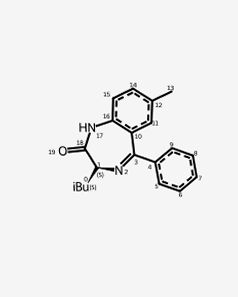 CC[C@H](C)[C@@H]1N=C(c2ccccc2)c2cc(C)ccc2NC1=O